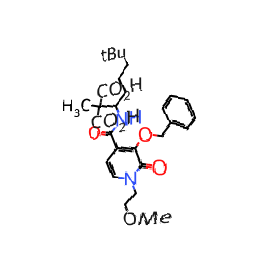 COCCn1ccc(C(=O)NC(CCCC(C)(C)C)C(C)(C(=O)O)C(=O)O)c(OCc2ccccc2)c1=O